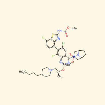 C[C@@H](CN1CCC(CCCC(=O)O)CC1)Oc1nc(N2CC3CCC(C2)N3C(=O)OC(C)(C)C)c2cc(Cl)c(-c3ccc(F)c4sc(NC(=O)OC(C)(C)C)nc34)c(F)c2n1